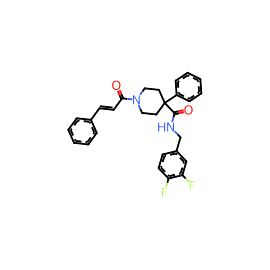 O=C(C=Cc1ccccc1)N1CCC(C(=O)NCc2ccc(F)c(F)c2)(c2ccccc2)CC1